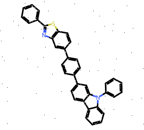 c1ccc(-c2nc3cc(-c4ccc(-c5ccc6c7ccccc7n(-c7ccccc7)c6c5)cc4)ccc3s2)cc1